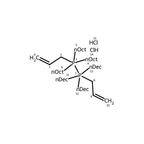 C=CCP(CCCCCCCC)(CCCCCCCC)(CCCCCCCC)P(CC=C)(CCCCCCCCCC)(CCCCCCCCCC)CCCCCCCCCC.Cl.Cl